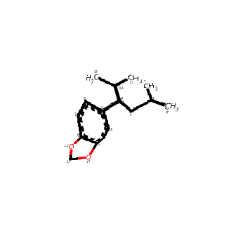 CC(C)CC(c1ccc2c(c1)OCO2)C(C)C